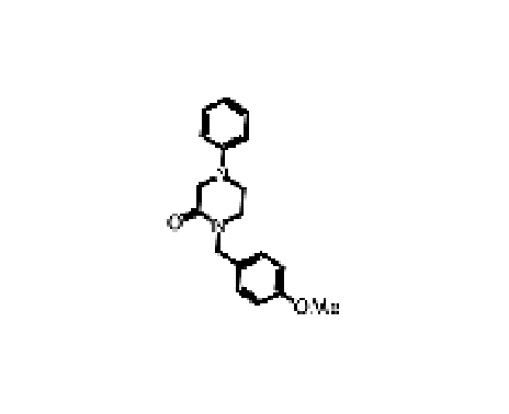 COc1ccc(CN2CCN(c3ccccc3)CC2=O)cc1